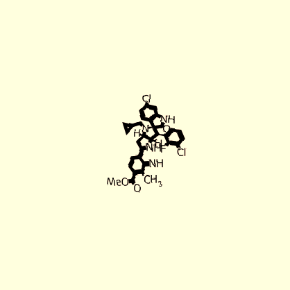 COC(=O)C1=C(C)C(=N)/C(=C2/C[C@H]3[C@@H](N2)[C@H](c2cccc(Cl)c2F)[C@]2(C(=O)Nc4cc(Cl)ccc42)N3CC2CC2)C=C1